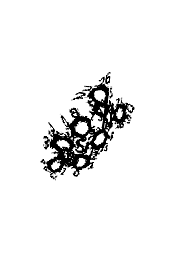 c1ccc([Si](c2ccccc2)(c2cccc(-n3c4ccccc4n4c5ccccc5cc34)c2)c2cccc3c2oc2ccccc23)cc1